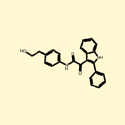 O=C(Nc1ccc(CCO)cc1)C(=O)c1c(-c2ccccc2)[nH]c2ccccc12